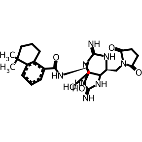 CC1(C)CCCc2c(C(=O)N[C@H]3CN4C(=N)N[C@@H](CN5C(=O)CCC5=O)C5NC(=N)NC54C3(O)O)cccc21